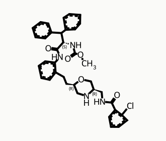 COC(=O)N[C@H](C(=O)Nc1ccccc1CC[C@@H]1CN[C@H](CNC(=O)c2ccccc2Cl)CO1)C(c1ccccc1)c1ccccc1